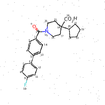 O=C(c1ccc(-c2ccc(F)cc2)cc1)N1CCC(C(=O)O)(C2CCCC2)CC1